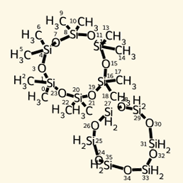 C[Si]1(C)O[Si](C)(C)O[Si](C)(C)O[Si](C)(C)O[Si](C)(C)O[Si](C)(C)O1.O1[SiH2]O[SiH2]O[SiH2]O[SiH2]O[SiH2]O[SiH2]1